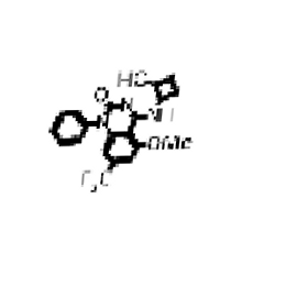 COc1cc(C(F)(F)F)cc2c1c(N[C@H]1CC[C@@H]1O)nc(=O)n2-c1ccccc1